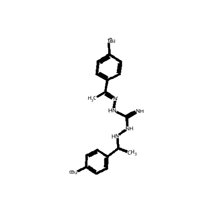 C/C(=N\NC(=N)NNC(C)c1ccc(C(C)(C)C)cc1)c1ccc(C(C)(C)C)cc1